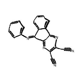 N#Cc1nc2c(nc1C#N)-c1ccccc1C2=Nc1ccccc1